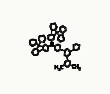 Cc1cc(C)cc(-c2cc(-c3ccccc3)cc(-c3ccc(N(c4ccc5c(c4)C(c4ccccc4)(c4ccccc4)c4ccccc4-5)c4ccc5c(c4)C(c4ccccc4)(c4ccccc4)c4ccccc4-5)cc3)c2)c1